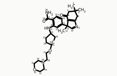 CC1(C)CC(=O)C2=C(C1)N=CC2(C)c1ccc(C(N)=O)c(NC2CCC(OCCN3CCOCC3)CC2)c1